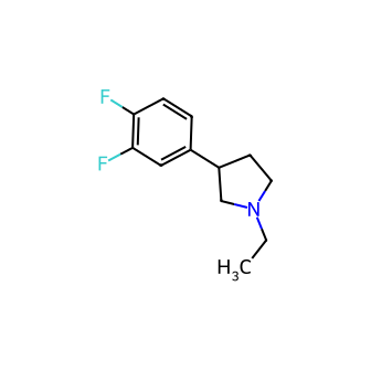 CCN1CCC(c2ccc(F)c(F)c2)C1